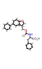 O=C(NC(Cc1ccccc1)C(=O)O)OCc1coc2ccc(-c3ccccc3)cc12